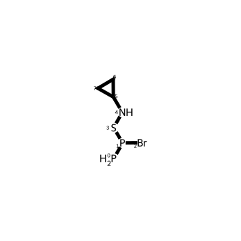 PP(Br)SNC1CC1